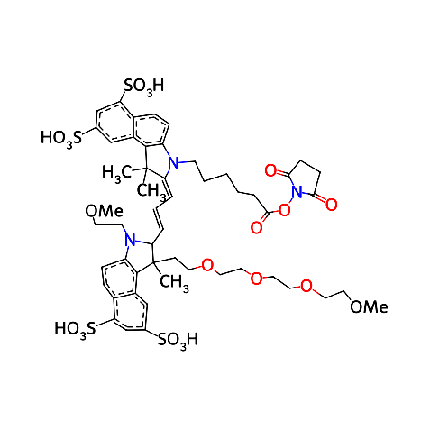 COCCOCCOCCOCCC1(C)c2c(ccc3c(S(=O)(=O)O)cc(S(=O)(=O)O)cc23)N(CCOC)C1/C=C/C=C1/N(CCCCCC(=O)ON2C(=O)CCC2=O)c2ccc3c(S(=O)(=O)O)cc(S(=O)(=O)O)cc3c2C1(C)C